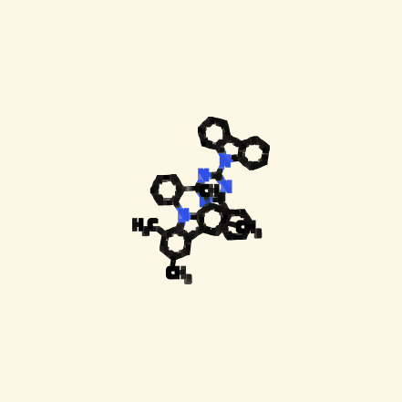 Cc1cc(C)c2c(c1)c1cc(C)cc(C)c1n2-c1ccccc1-c1nc(-c2ccccc2)nc(-n2c3ccccc3c3ccccc32)n1